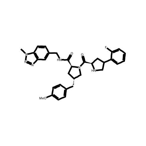 COc1ccc(C[C@@H]2C[C@@H](C(=O)NCc3ccc4c(c3)nnn4C)N(C(=O)[C@H]3CC(c4ccccc4F)CN3)C2)cc1